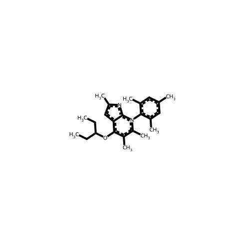 CCC(CC)Oc1c2cc(C)nc-2n(-c2c(C)cc(C)cc2C)c(C)c1C